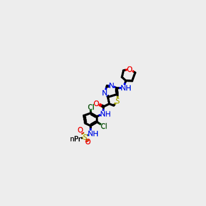 CCCS(=O)(=O)Nc1ccc(Cl)c(NC(=O)C2CSc3c(NC4CCOCC4)ncnc32)c1Cl